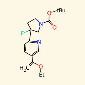 C=C(OCC)c1ccc(C2(F)CCN(C(=O)OC(C)(C)C)C2)nc1